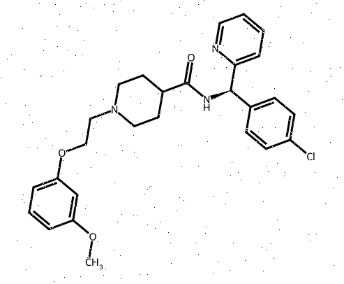 COc1cccc(OCCN2CCC(C(=O)N[C@H](c3ccc(Cl)cc3)c3ccccn3)CC2)c1